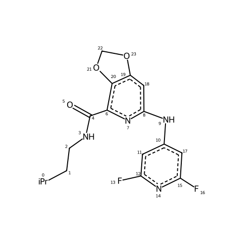 CC(C)CCNC(=O)c1nc(Nc2cc(F)nc(F)c2)cc2c1OCO2